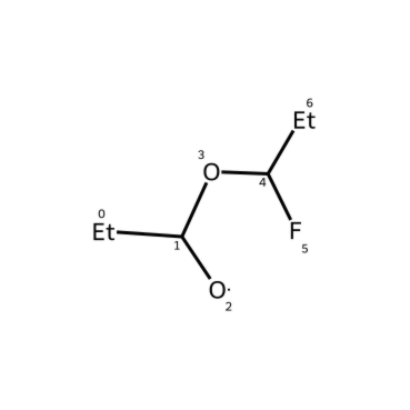 CCC([O])OC(F)CC